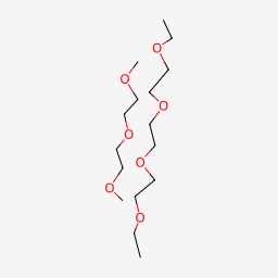 CCOCCOCCOCCOCC.COCCOCCOC